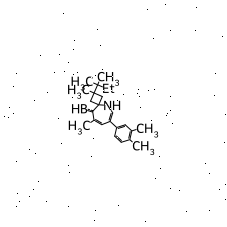 B=C1C(C)=CC(c2ccc(C)c(C)c2)=CNC12CC(C)(C(C)(C)CC)C2